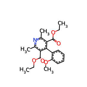 CCOC(=O)c1c(C)nc(C)c(C(=O)OCC)c1-c1ccccc1OC